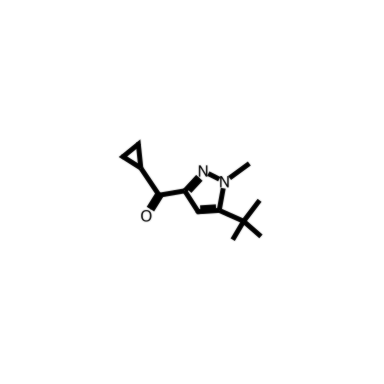 Cn1nc(C(=O)C2CC2)cc1C(C)(C)C